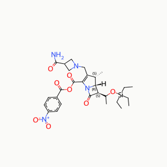 CC[Si](CC)(CC)OC(C)[C@H]1C(=O)N2C(C(=O)OC(=O)c3ccc([N+](=O)[O-])cc3)=C(CN3CC(C(N)=O)C3)[C@H](C)[C@H]12